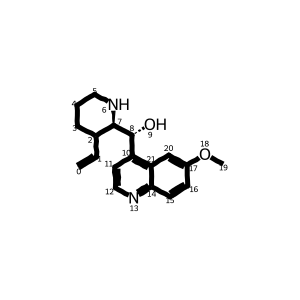 C=CC1CCCN[C@H]1[C@H](O)c1ccnc2ccc(OC)cc12